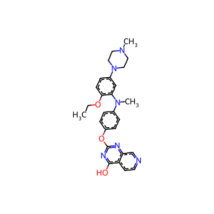 CCOc1ccc(N2CCN(C)CC2)cc1N(C)c1ccc(Oc2nc(O)c3ccncc3n2)cc1